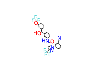 N#Cc1cccc(-n2nc(C(F)(F)F)cc2C(=O)Nc2cccc(C(O)c3cccc(OC(F)(F)F)c3)c2)c1